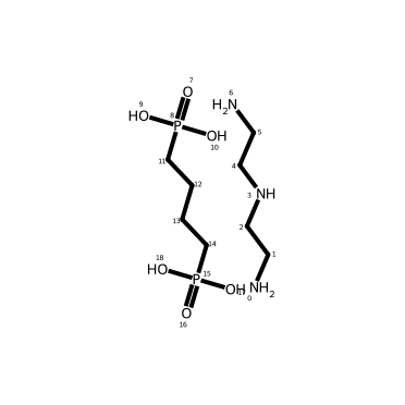 NCCNCCN.O=P(O)(O)CCCCP(=O)(O)O